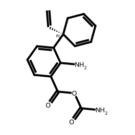 C=C[C@@]1(c2cccc(C(=O)OC(N)=O)c2N)C=CC=CC1